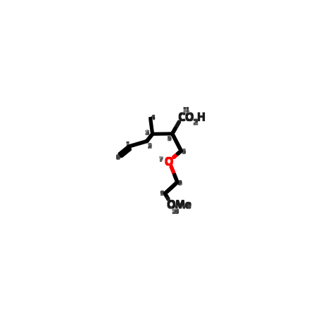 C=CCC(C)C(COCCOC)C(=O)O